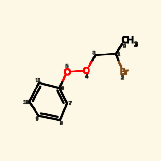 CC(Br)COOc1ccccc1